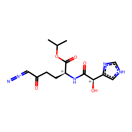 CC(C)OC(=O)[C@H](CCC(=O)C=[N+]=[N-])NC(=O)[C@H](O)c1c[nH]cn1